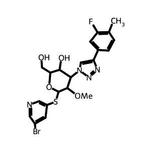 COC1C(Sc2cncc(Br)c2)OC(CO)C(O)C1n1cc(-c2ccc(C)c(F)c2)nn1